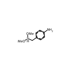 CO[SiH](Cc1ccc(N)cc1)OC